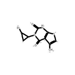 CCC1CC1n1c(=O)[nH]c2scc(C)c2c1=O